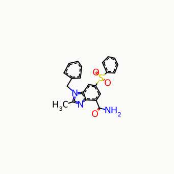 Cc1nc2c(C(N)=O)cc(S(=O)(=O)c3ccccc3)cc2n1Cc1ccccc1